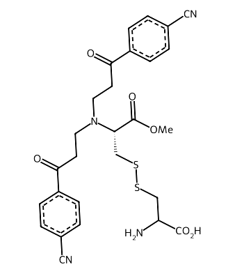 COC(=O)[C@H](CSSCC(N)C(=O)O)N(CCC(=O)c1ccc(C#N)cc1)CCC(=O)c1ccc(C#N)cc1